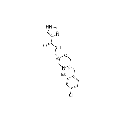 CCN1C[C@H](CNC(=O)c2c[nH]cn2)OC[C@@H]1Cc1ccc(Cl)cc1